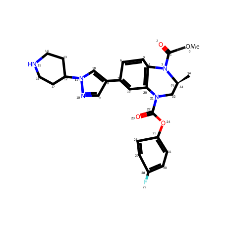 COC(=O)N1c2ccc(-c3cnn(C4CCNCC4)c3)cc2N(C(=O)Oc2ccc(F)cc2)C[C@@H]1C